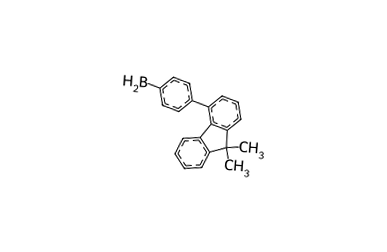 Bc1ccc(-c2cccc3c2-c2ccccc2C3(C)C)cc1